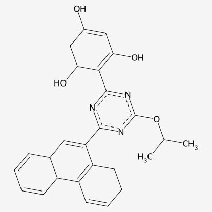 CC(C)Oc1nc(C2=CC3C=CC=CC3C3=C2CCC=C3)nc(C2=C(O)C=C(O)CC2O)n1